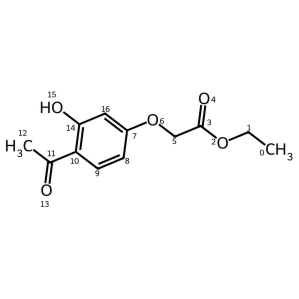 CCOC(=O)COc1ccc(C(C)=O)c(O)c1